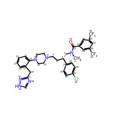 CN(C[C@@H](CCN1CCN(c2ccccc2Cc2nc[nH]n2)CC1)c1ccc(Cl)cc1)C(=O)c1cc(C(F)(F)F)cc(C(F)(F)F)c1